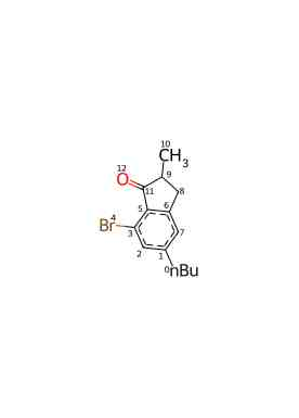 CCCCc1cc(Br)c2c(c1)CC(C)C2=O